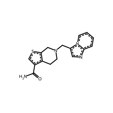 NC(=O)c1csc2c1CCN(Cc1cnc3ccccn13)C2